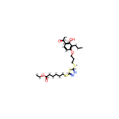 CCCc1c(OCCCSc2nnc(SCCCCCC(=O)OCC)s2)ccc(C(C)=O)c1O